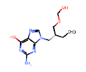 Nc1nc(O)c2ncn(C[C@@H](CC=O)COCO)c2n1